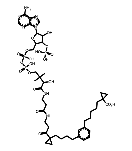 CC(C)(COP(=O)(O)OP(=O)(O)OCC1OC(n2cnc3c(N)ncnc32)C(O)C1OP(=O)(O)O)C(O)C(=O)NCCC(=O)NCCC(=O)C1(CCCCc2cccc(CCCCCC3(C(=O)O)CC3)c2)CC1